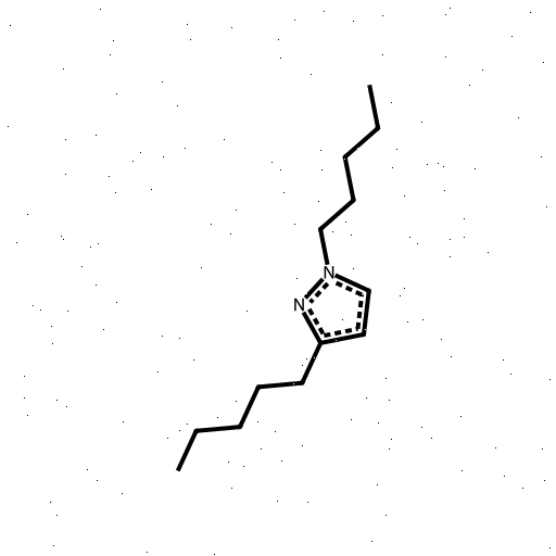 CCCCCc1ccn(CCCCC)n1